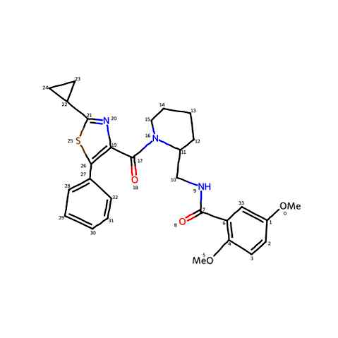 COc1ccc(OC)c(C(=O)NCC2CCCCN2C(=O)c2nc(C3CC3)sc2-c2ccccc2)c1